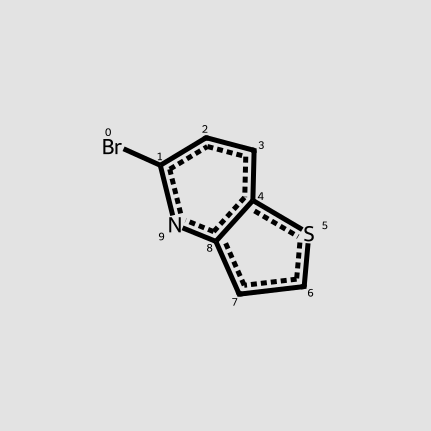 Brc1ccc2sccc2n1